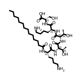 CCCCCCCCCCCCCC(=O)N[C@@H](CCCCN)C(=O)N[C@H](C(=O)N[C@H](C(=O)N[C@@H](CCCCN)C(=O)N[C@@H](CO)C(=O)O)[C@@H](C)O)[C@@H](C)O